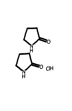 Cl.O=C1CCCN1.O=C1CCCN1